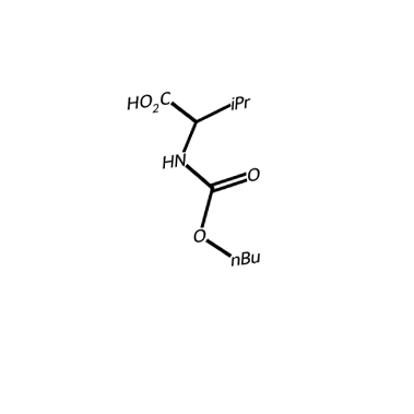 CCCCOC(=O)NC(C(=O)O)C(C)C